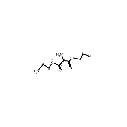 NC(C(=O)OCCO)C(=O)OCCO